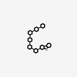 c1ccc(-c2ccc(-c3cccc(-c4ccc(-c5cccc(-c6cccc(-c7ccc8c(c7)sc7ccccc78)c6)c5)cc4)c3)cc2)cc1